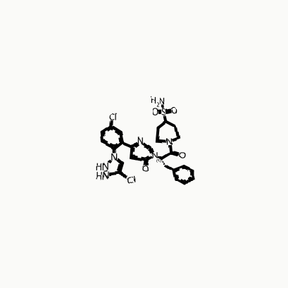 NS(=O)(=O)C1CCN(C(=O)[C@H](Cc2ccccc2)n2cnc(-c3cc(Cl)ccc3N3C=C(Cl)NN3)cc2=O)CC1